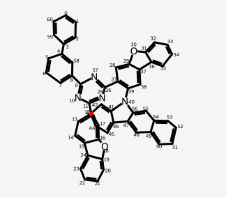 c1ccc(-c2cccc(-c3nc(-c4ccc5c(c4)oc4ccccc45)nc(-c4cc5oc6ccccc6c5cc4-n4c5ccccc5c5cc6ccccc6cc54)n3)c2)cc1